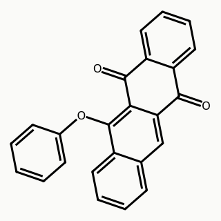 O=C1c2ccccc2C(=O)c2c1cc1ccccc1c2Oc1ccccc1